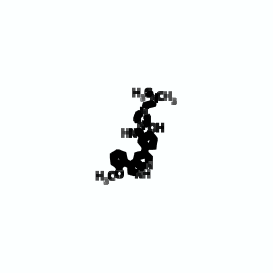 COc1ccccc1-c1c[nH]c2ncc(-c3ccc(O)c(C(=N)N4CCN(CCN(C)C)CC4)c3)cc12